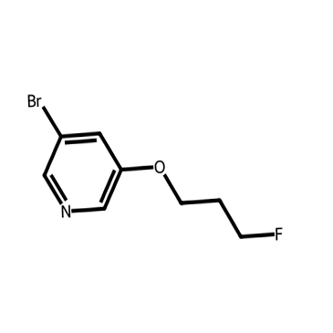 FCCCOc1cncc(Br)c1